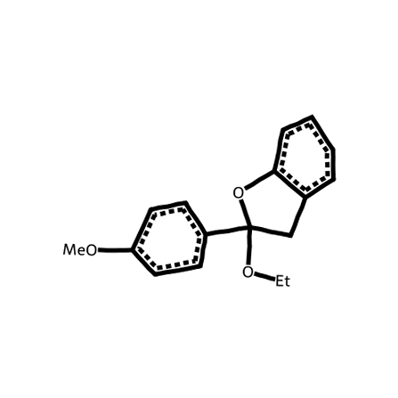 CCOC1(c2ccc(OC)cc2)Cc2ccccc2O1